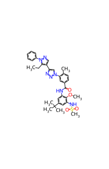 CCc1c(-c2cn(-c3cc(C(=O)Nc4cc(C(C)(C)C)cc(NS(C)(=O)=O)c4OC)ccc3C)nn2)cnn1-c1ccccc1